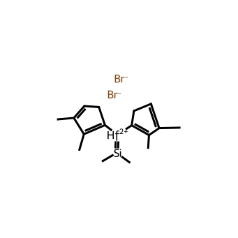 CC1=CC[C]([Hf+2]([C]2=C(C)C(C)=CC2)=[Si](C)C)=C1C.[Br-].[Br-]